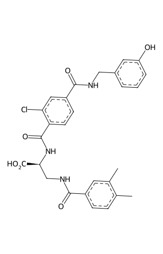 Cc1ccc(C(=O)NC[C@H](NC(=O)c2ccc(C(=O)NCc3cccc(O)c3)cc2Cl)C(=O)O)cc1C